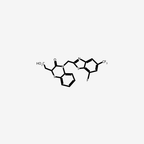 O=C(O)CC1Sc2ccccc2N(Cc2nc3cc(C(F)(F)F)cc(F)c3s2)C1=O